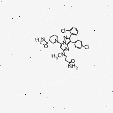 CN(CCC(N)=O)c1cc(N2CCC[C@@H](C(N)=O)C2)n2nc(-c3ccccc3Cl)c(-c3ccc(Cl)cc3)c2n1